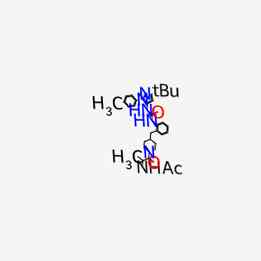 CC(=O)NC(C)C(=O)N1CCC(Cc2ccccc2NC(=O)Nc2cc(C(C)(C)C)nn2-c2ccc(C)cc2)CC1